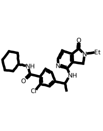 CCN1Cc2c(ccnc2NC(C)c2ccc(C(=O)NC3CCCCC3)c(Cl)c2)C1=O